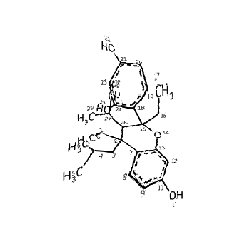 CCC1(CC(C)C)c2ccc(O)cc2OC(CC)(c2ccc(O)cc2O)C1C(C)C